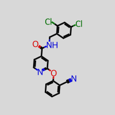 N#Cc1ccccc1Oc1cc(C(=O)NCc2ccc(Cl)cc2Cl)ccn1